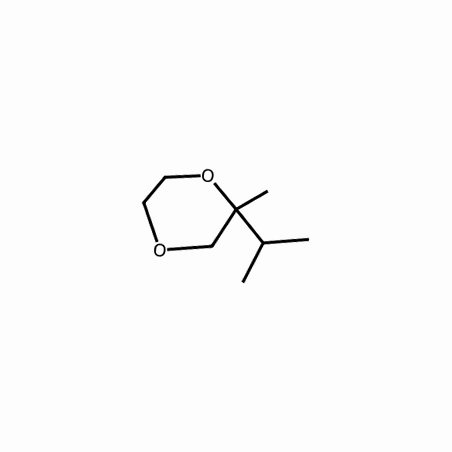 CC(C)C1(C)COCCO1